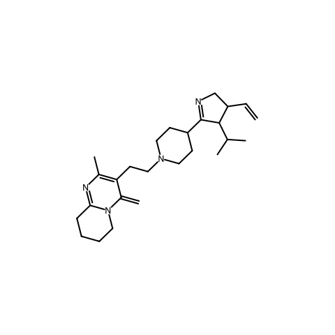 C=CC1CN=C(C2CCN(CCC3=C(C)N=C4CCCCN4C3=C)CC2)C1C(C)C